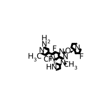 Cc1nc(N)cc(-c2ncc3c(N(C)[C@@H]4CCNC4)nc(OC[C@@]45CCCN4C[C@H](F)C5)nc3c2F)c1C(F)(F)F